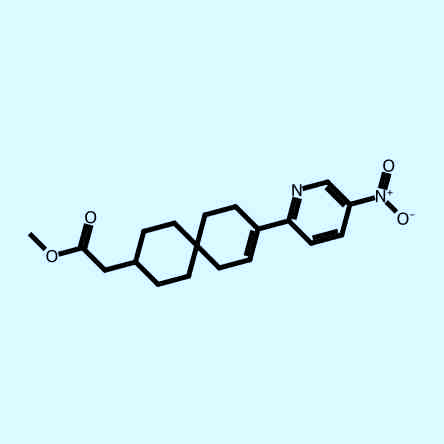 COC(=O)CC1CCC2(CC=C(c3ccc([N+](=O)[O-])cn3)CC2)CC1